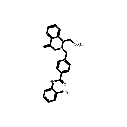 C=C1CN(Cc2ccc(C(=O)Nc3ccccc3N)cc2)C(CC(=O)OCC)c2ccccc21